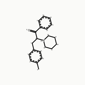 Cc1ccc(CC(C(=O)c2ccccc2)N2CCCCC2)cc1